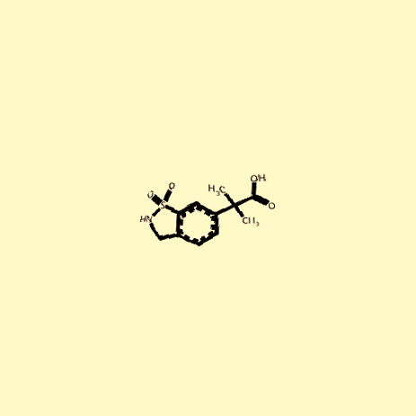 CC(C)(C(=O)O)c1ccc2c(c1)S(=O)(=O)NC2